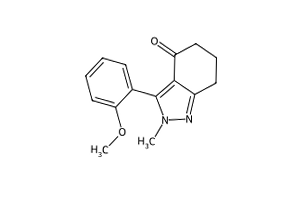 COc1ccccc1-c1c2c(nn1C)CCCC2=O